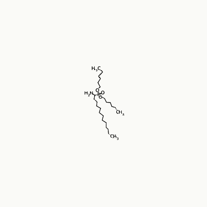 CCCCCCCCCCCCC(N)P(=O)(OCCCCCC)OCCCCCC